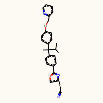 CC(C)C(C)(c1ccc(OCc2ccccn2)cc1)c1ccc(-c2nc(CC#N)co2)cc1